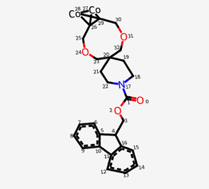 O=C(OCC1c2ccccc2-c2ccccc21)N1CCC2(CC1)COC[C]13[Co]4[Co]1[C]43COC2